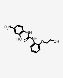 O=C(Nc1ccc([N+](=O)[O-])cc1O)Nc1ccccc1OCCO